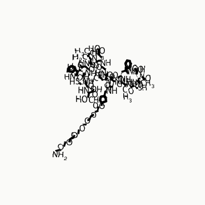 C=C(C(C)C)[C@H](NC(=O)[C@H](CCC(=O)O)NC(=O)CNC(=O)[C@H](CC(C)C)NC(=O)[C@H](CC(=O)NCc1ccc(OC(=O)CCOCCOCCOCCOCCOCCOCCN)cc1)NC(=O)[C@H](Cc1c[nH]c2ccccc12)NC(=O)[C@H](C)NC(=O)[C@H](CS)NC(=O)[C@H](CC(=O)O)NC(C)=O)C(=O)N[C@H](C(=O)N[C@@H](Cc1c[nH]c2ccccc12)C(=O)N[C@@H](CS)C(=O)N[C@H](C(=O)O)[C@@H](C)O)C(C)C